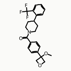 COC1(c2ccc(C(=O)N3CCC(c4ccccc4C(F)(F)F)CC3)cc2)COC1